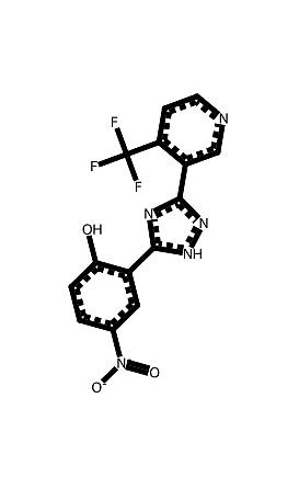 O=[N+]([O-])c1ccc(O)c(-c2nc(-c3cnccc3C(F)(F)F)n[nH]2)c1